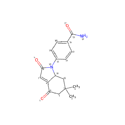 CC1(C)CC(=O)C2=CC(=O)N(c3ccc(C(N)=O)cc3)C2C1